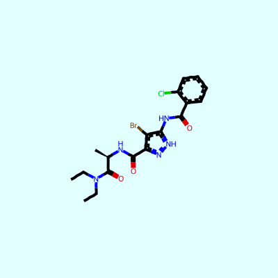 CCN(CC)C(=O)[C@@H](C)NC(=O)c1n[nH]c(NC(=O)c2ccccc2Cl)c1Br